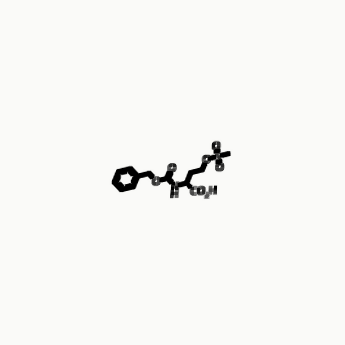 CS(=O)(=O)OCC[C@H](NC(=O)OCc1ccccc1)C(=O)O